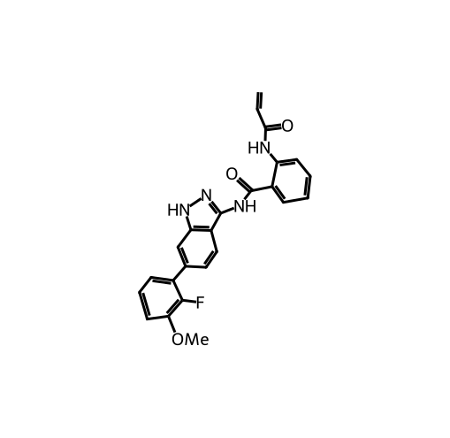 C=CC(=O)Nc1ccccc1C(=O)Nc1n[nH]c2cc(-c3cccc(OC)c3F)ccc12